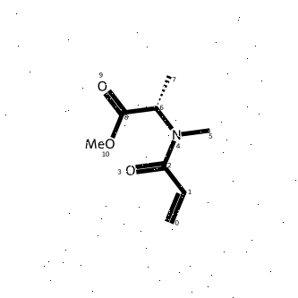 C=CC(=O)N(C)[C@@H](C)C(=O)OC